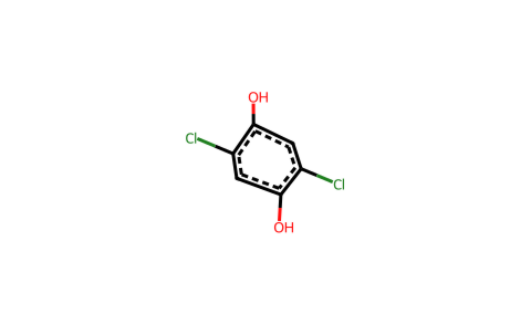 Oc1cc(Cl)c(O)cc1Cl